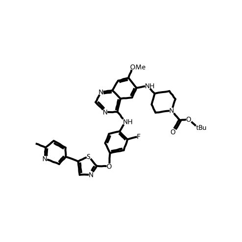 COc1cc2ncnc(Nc3ccc(Oc4ncc(-c5ccc(C)nc5)s4)cc3F)c2cc1NC1CCN(C(=O)OC(C)(C)C)CC1